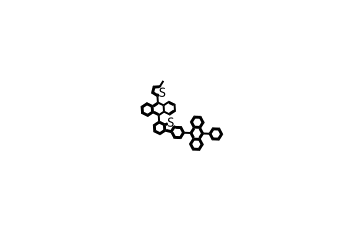 Cc1ccc(C2=c3ccccc3=C(c3cccc4c3sc3cc(-c5c6ccccc6c(-c6ccccc6)c6ccccc56)ccc34)C3C=CC=CC23)s1